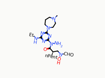 CCCCC[C@H](CN(O)C=O)C(=O)N(N)c1nc(NCC)nc(N2CCCN(C)CC2)n1